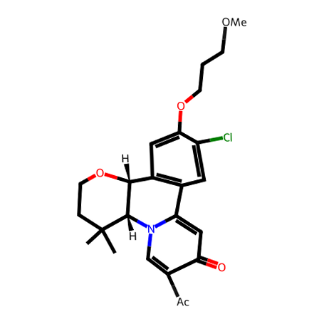 COCCCOc1cc2c(cc1Cl)-c1cc(=O)c(C(C)=O)cn1[C@H]1[C@@H]2OCCC1(C)C